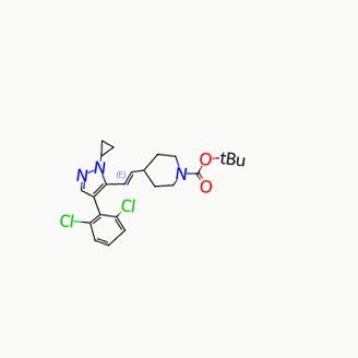 CC(C)(C)OC(=O)N1CCC(/C=C/c2c(-c3c(Cl)cccc3Cl)cnn2C2CC2)CC1